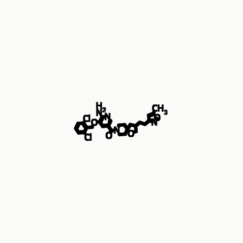 Cc1cc(CCC2COC3(CCN(C(=O)c4cnc(N)c(OCc5c(Cl)cccc5Cl)c4)CC3)C2)no1